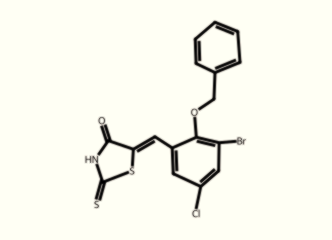 O=C1NC(=S)S/C1=C\c1cc(Cl)cc(Br)c1OCc1ccccc1